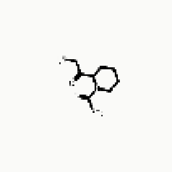 NCC(=O)C1CCCCN1C(N)=O